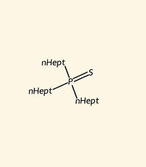 CCCCCCCP(=S)(CCCCCCC)CCCCCCC